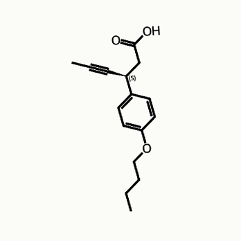 CC#C[C@@H](CC(=O)O)c1ccc(OCCCC)cc1